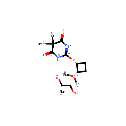 C1CCC1.CCCC(C)C1(CC)C(=O)N=C([O-])NC1=O.CCOCC.OCCO.[Na+]